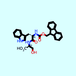 O=C(N[C@@H](Cc1c[nH]c2ccccc12)C(=O)N[C@@H](CO)C(=O)O)OCC1c2ccccc2-c2ccccc21